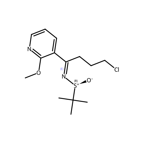 COc1ncccc1/C(CCCCl)=N/[S@@+]([O-])C(C)(C)C